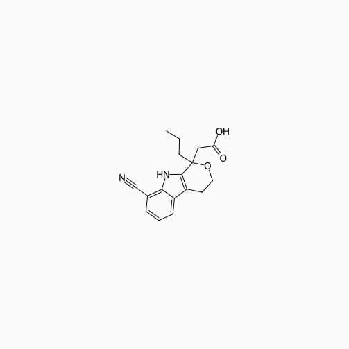 CCCC1(CC(=O)O)OCCc2c1[nH]c1c(C#N)cccc21